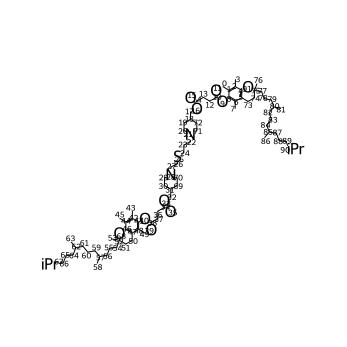 Cc1c(C)c2c(c(C)c1OC(=O)CCC(=O)OCC1CCN(CCCSCCN3CCC(COC(=O)CCC(=O)Oc4c(C)c(C)c5c(c4C)CCC(C)(CCCC(C)CCCC(C)CCCC(C)C)O5)CC3)CC1)CCC(C)(CCCC(C)CCCC(C)CCCC(C)C)O2